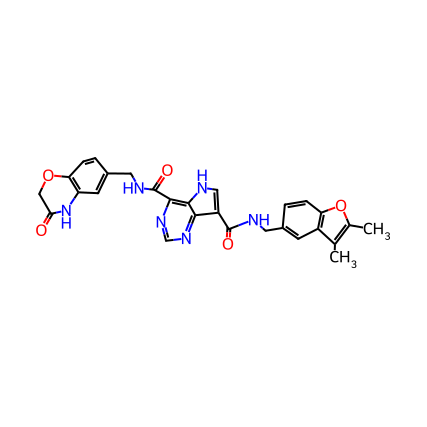 Cc1oc2ccc(CNC(=O)c3c[nH]c4c(C(=O)NCc5ccc6c(c5)NC(=O)CO6)ncnc34)cc2c1C